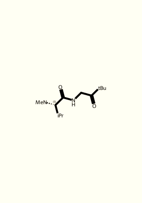 CN[C@H](C(=O)NCC(=O)C(C)(C)C)C(C)C